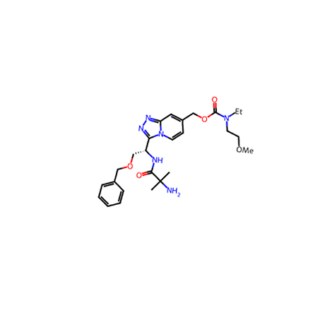 CCN(CCOC)C(=O)OCc1ccn2c([C@@H](COCc3ccccc3)NC(=O)C(C)(C)N)nnc2c1